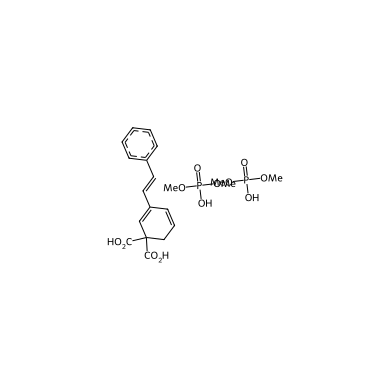 COP(=O)(O)OC.COP(=O)(O)OC.O=C(O)C1(C(=O)O)C=C(C=Cc2ccccc2)C=CC1